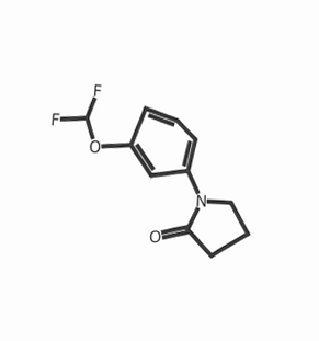 O=C1CCCN1c1cccc(OC(F)F)c1